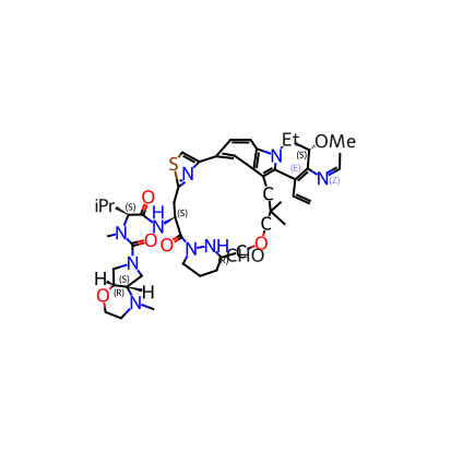 C=C/C(=C(\N=C/C)[C@H](C)OC)c1c2c3cc(ccc3n1CC)-c1csc(n1)C[C@H](NC(=O)[C@H](C(C)C)N(C)C(=O)N1C[C@H]3OCCN(C)[C@H]3C1)C(=O)N1CCC[C@](C=O)(COCC(C)(C)C2)N1